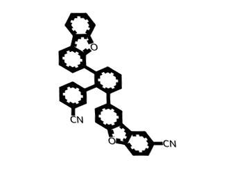 N#Cc1cccc(-c2c(-c3ccc4oc5ccc(C#N)cc5c4c3)cccc2-c2cccc3c2oc2ccccc23)c1